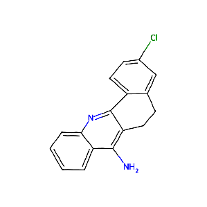 Nc1c2c(nc3ccccc13)-c1ccc(Cl)cc1CC2